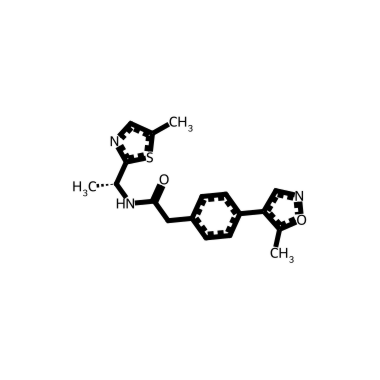 Cc1cnc([C@@H](C)NC(=O)Cc2ccc(-c3cnoc3C)cc2)s1